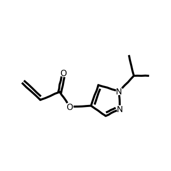 C=CC(=O)Oc1cnn(C(C)C)c1